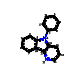 c1ccc(-n2c3ccccc3c3ncccc32)cc1